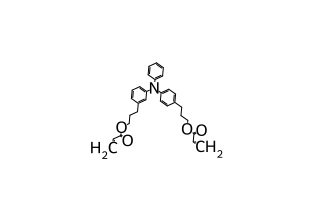 C=CC(=O)OCCCc1ccc(N(c2ccccc2)c2cccc(CCCOC(=O)C=C)c2)cc1